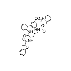 O=C(NCCC[C@H](NC(=O)c1cc2ccccc2o1)C(=O)Nc1ccccc1-c1cccc(C(=O)O)c1)OCc1ccccc1